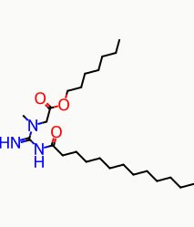 CCCCCCCCCCCCC(=O)NC(=N)N(C)CC(=O)OCCCCCCC